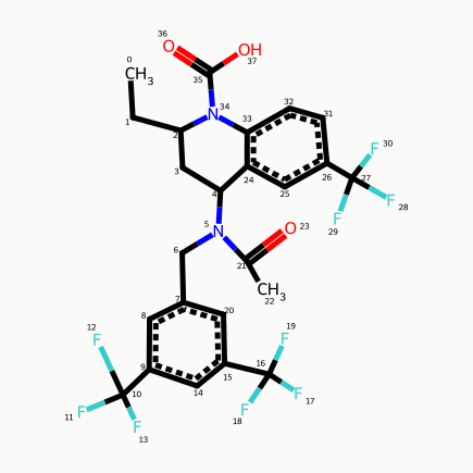 CCC1CC(N(Cc2cc(C(F)(F)F)cc(C(F)(F)F)c2)C(C)=O)c2cc(C(F)(F)F)ccc2N1C(=O)O